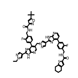 CCn1cc(-c2nc3c(-c4ccc(CNC(=O)c5cc(C(C)(C)C)on5)c(F)c4)c(Cn4cc(-c5nc6c(-c7ccc(CNC(=O)c8cc9c(s8)CCCC9)c(F)c7)ccnc6[nH]5)cn4)cnc3[nH]2)cn1